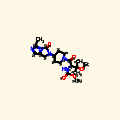 CCOC(C)(C)C(NC(=O)OC(C)(C)C)C(=O)N1CCC(N2Cc3cnc(C)n3C2=O)CC1